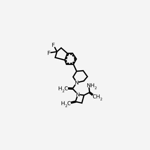 C=C(N)C1CC(=C)N1C(=C)N1CCCC(c2ccc3c(c2)CC(F)(F)C3)C1